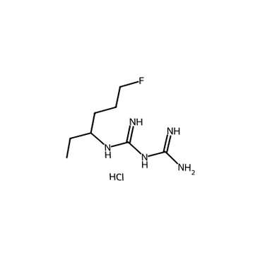 CCC(CCCF)NC(=N)NC(=N)N.Cl